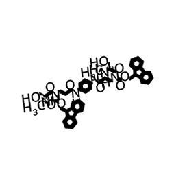 CN[C@@H](CO)C(=O)N(CCC(=O)Nc1ccc(NC(=O)CCN(C(=O)OCC2c3ccccc3-c3ccccc32)C(=O)[C@H](CO)NC)cc1)C(=O)OCC1c2ccccc2-c2ccccc21